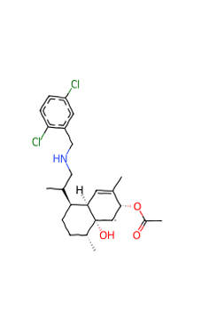 CC(=O)O[C@@H]1[CH][C@@]2(O)[C@H](C)CC[C@@H](C(C)CNCc3cc(Cl)ccc3Cl)[C@H]2C=C1C